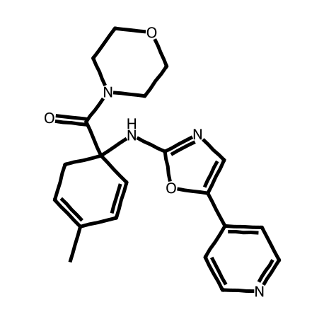 CC1=CCC(Nc2ncc(-c3ccncc3)o2)(C(=O)N2CCOCC2)C=C1